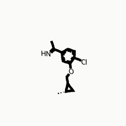 CC(=N)c1ccc(Cl)c(OCC2C[C@@H]2C)c1